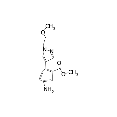 COCCn1cc(-c2ccc(N)cc2C(=O)OC)cn1